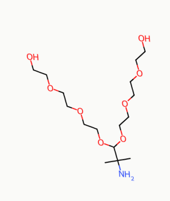 CC(C)(N)C(OCCOCCOCCO)OCCOCCOCCO